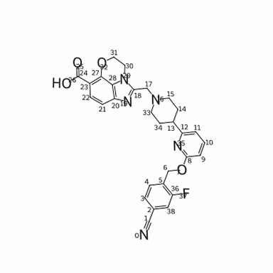 N#Cc1ccc(COc2cccc(C3CCN(Cc4nc5ccc(C(=O)O)c6c5n4CCO6)CC3)n2)c(F)c1